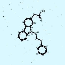 O=C(O)Cc1ccc2c3ccccc3n(SCCc3ccccc3)c2c1